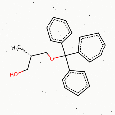 C[C@@H](CO)COC(c1ccccc1)(c1ccccc1)c1ccccc1